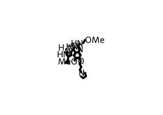 COCCNC1=Nc2cc(OCCCN3CCCC3)c(OC)cc2C(N)(c2cc(C3CC3)[nH]n2)N1